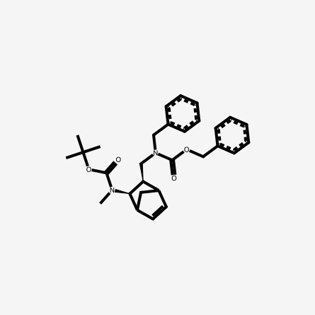 CN(C(=O)OC(C)(C)C)[C@@H]1C2C=CC(C2)[C@@H]1CN(Cc1ccccc1)C(=O)OCc1ccccc1